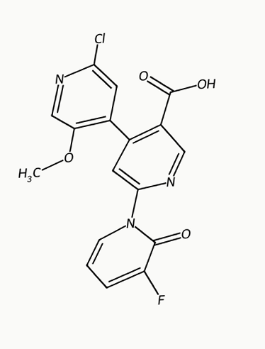 COc1cnc(Cl)cc1-c1cc(-n2cccc(F)c2=O)ncc1C(=O)O